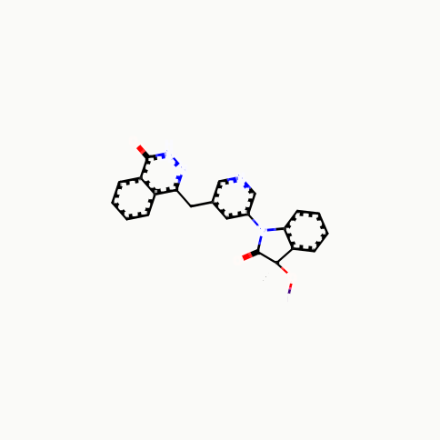 C[C@]1(OI)C(=O)N(c2cncc(Cc3n[nH]c(=O)c4ccccc34)c2)c2ccccc21